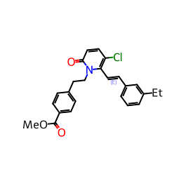 CCc1cccc(/C=C/c2c(Cl)ccc(=O)n2CCc2ccc(C(=O)OC)cc2)c1